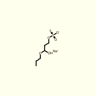 CCCOC(O)CCOS(=O)([O-])=S.[Na+]